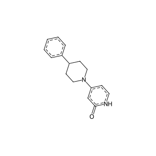 O=c1cc(N2CCC(c3ccccc3)CC2)cc[nH]1